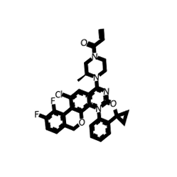 C=CC(=O)N1CCN(c2nc(=O)n(-c3ccccc3C3(C)CC3)c3c4c(c(Cl)cc23)-c2c(ccc(F)c2F)CO4)[C@@H](C)C1